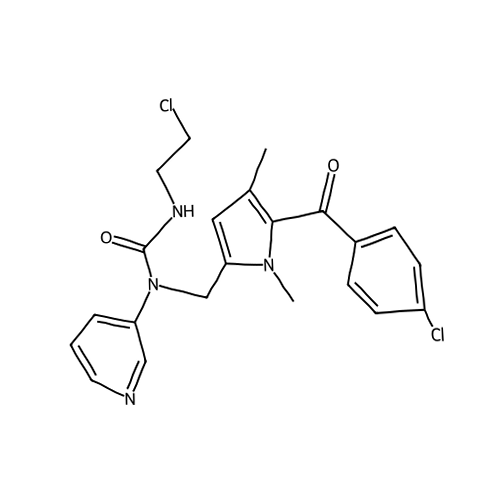 Cc1cc(CN(C(=O)NCCCl)c2cccnc2)n(C)c1C(=O)c1ccc(Cl)cc1